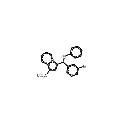 CCOC(=O)c1cc([C@@H](Nc2ccccc2)c2cccc(Br)c2)n2ccccc12